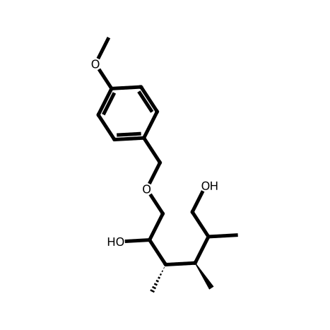 COc1ccc(COCC(O)[C@@H](C)[C@H](C)C(C)CO)cc1